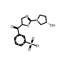 CCS(=O)(=O)c1cccc(C(=O)C2CN=C(N3CC[C@H](O)C3)S2)c1